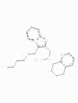 CN(Cc1nc2ccccn2c1CNCCCN)[C@H]1CCCc2cccnc21